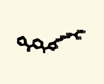 CNC(=N)NCN/C=N/c1cc(C(C)c2cccc(C(=O)c3ccccc3)c2)no1